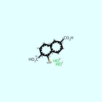 Cl.Cl.O=C(O)c1ccc2c(Br)c(C(=O)O)ccc2c1